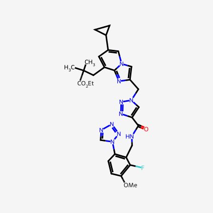 CCOC(=O)C(C)(C)Cc1cc(C2CC2)cn2cc(Cn3cc(C(=O)NCc4c(-n5cnnn5)ccc(OC)c4F)nn3)nc12